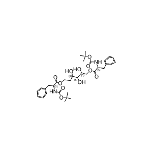 CC(C)(C)OC(=O)N[C@@H](Cc1ccccc1)C(=O)OCC[C@@H](O)[C@H](O)[C@@H](O)COC(=O)[C@H](Cc1ccccc1)NC(=O)OC(C)(C)C